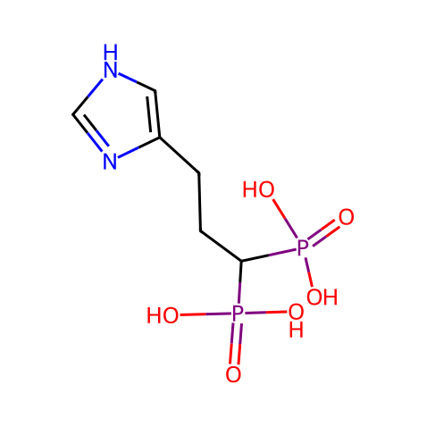 O=P(O)(O)C(CCc1c[nH]cn1)P(=O)(O)O